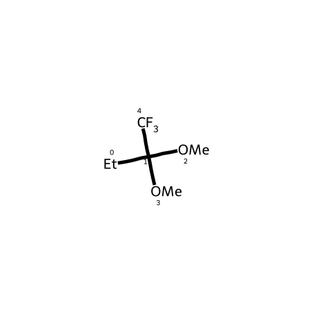 CCC(OC)(OC)C(F)(F)F